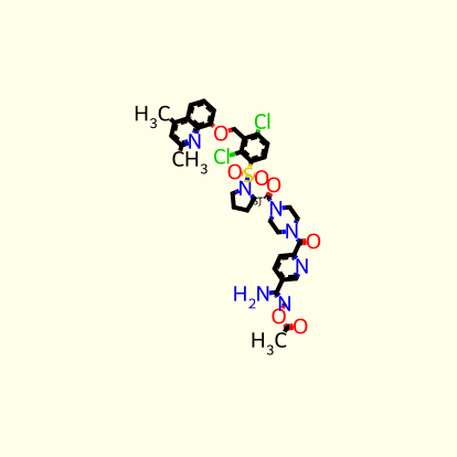 CC(=O)ON=C(N)c1ccc(C(=O)N2CCN(C(=O)[C@@H]3CCCN3S(=O)(=O)c3ccc(Cl)c(COc4cccc5c(C)cc(C)nc45)c3Cl)CC2)nc1